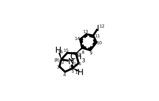 CN1[C@@H]2CC[C@H]1C[C@H](c1ccc(I)cc1)C2